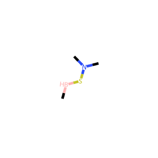 CBSN(C)C